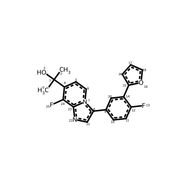 CC(C)(O)c1ccn2c(-c3ccc(F)c(-c4ccco4)c3)cnc2c1F